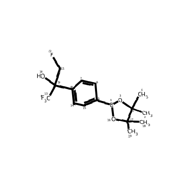 CC1(C)OB(c2ccc(C(O)(CF)C(F)(F)F)cc2)OC1(C)C